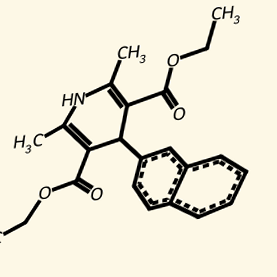 CCOC(=O)C1=C(C)NC(C)=C(C(=O)OCC)C1c1ccc2ccccc2c1